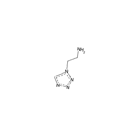 NCCn1cnnn1